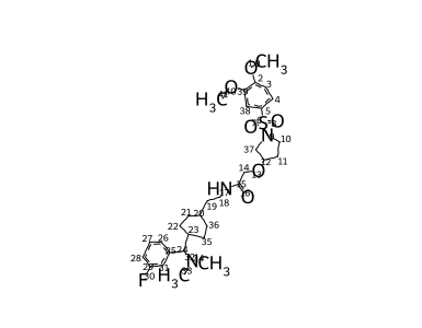 COc1ccc(S(=O)(=O)N2CCC(OCC(=O)NCCC3CCC(C(c4cccc(F)c4)N(C)C)CC3)C2)cc1OC